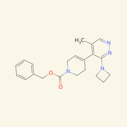 Cc1cnnc(N2CCC2)c1C1=CCN(C(=O)OCc2ccccc2)CC1